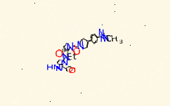 CCN(C(=O)[C@@H]1CCN(CC(=O)N2CC=C(c3ccc(-c4ncn(C)n4)cc3)CC2)C1)c1ccc2[nH]nc(C3=CCOCC3)c2n1